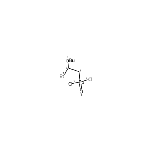 CCCCC(CC)CP(=O)(Cl)Cl